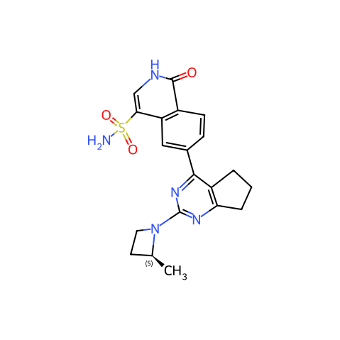 C[C@H]1CCN1c1nc2c(c(-c3ccc4c(=O)[nH]cc(S(N)(=O)=O)c4c3)n1)CCC2